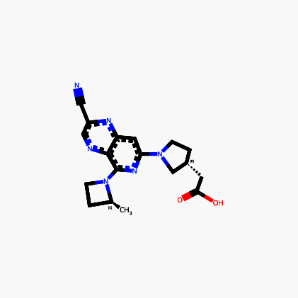 C[C@H]1CCN1c1nc(N2CC[C@H](CC(=O)O)C2)cc2nc(C#N)cnc12